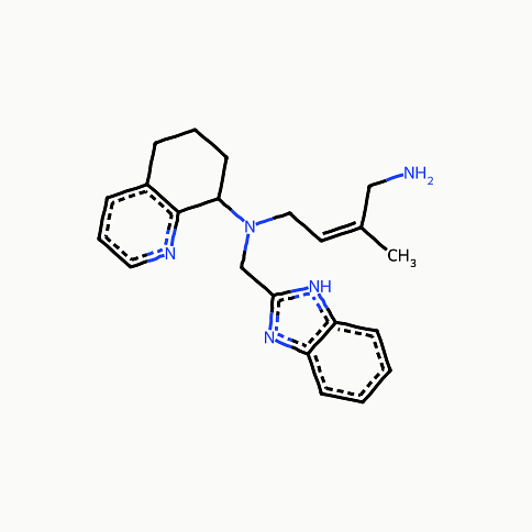 CC(=CCN(Cc1nc2ccccc2[nH]1)C1CCCc2cccnc21)CN